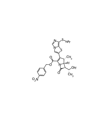 CCCSc1ncn2cc(C3=C(C(=O)OCc4ccc([N+](=O)[O-])cc4)N4C(=O)[C@H]([C@@H](C)O)[C@H]4[C@H]3C)sc12